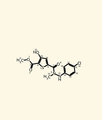 COC(=O)c1sc(C(=O)N(C)Nc2ccc(Cl)cc2)cc1O